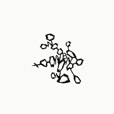 CC(C)(C)c1ccc(-c2ccc(N3c4cc(-c5ccc(N(c6ccccc6)c6ccccc6)cc5)ccc4B4c5cc(-c6ccccc6)cc6c5N(c5ccc(-c7ccccc7)cc5-c5ccccc5-6)c5cc(N(c6ccccc6)c6ccccc6)cc3c54)cc2)cc1